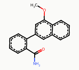 COc1cc(-c2ccccc2C(N)=O)cc2ccccc12